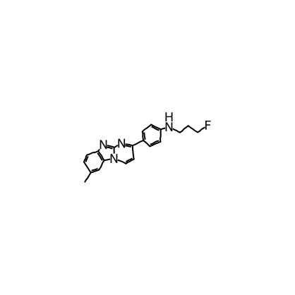 Cc1ccc2nc3nc(-c4ccc(NCCCF)cc4)ccn3c2c1